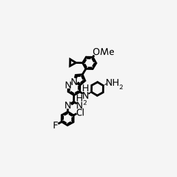 COc1ccc(-c2cc3c(N[C@H]4CC[C@H](N)CC4)c(/C(N)=N/c4cc(F)ccc4Cl)cnn3c2)c(C2CC2)c1